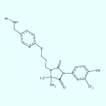 Cc1cc(N2C(=O)C(C)(C)N(CCCOc3ccc(CNC(C)C)cn3)C2=S)ccc1C#N